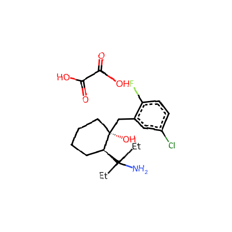 CCC(N)(CC)[C@H]1CCCC[C@@]1(O)Cc1cc(Cl)ccc1F.O=C(O)C(=O)O